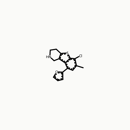 Cc1cc(-c2ccco2)c2c3c(sc2c1Cl)CCNC3